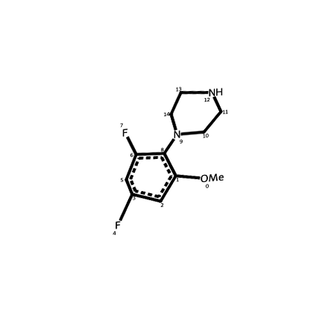 COc1cc(F)cc(F)c1N1CCNCC1